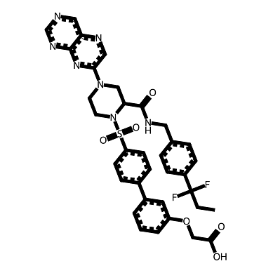 CCC(F)(F)c1ccc(CNC(=O)C2CN(c3cnc4cncnc4n3)CCN2S(=O)(=O)c2ccc(-c3cccc(OCC(=O)O)c3)cc2)cc1